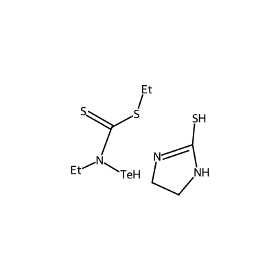 CCSC(=S)N([TeH])CC.SC1=NCCN1